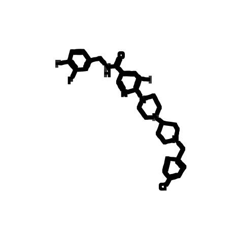 O=C(NCc1ccc(F)c(F)c1)c1cnc(N2CCN(C3CCN(Cc4ccc(Cl)cc4)CC3)CC2)c(I)c1